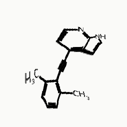 Cc1cccc(C)c1C#Cc1ccnc2[nH]ccc12